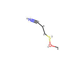 COSCCC#N